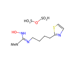 CNC(=NCCCCc1nccs1)NO.O=S(=O)(O)OS(=O)(=O)O